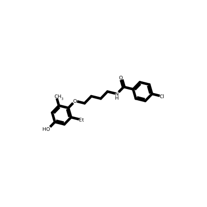 CCc1cc(O)cc(C)c1OCCCCNC(=O)c1ccc(Cl)cc1